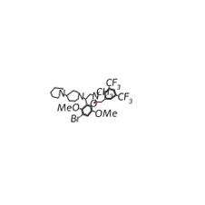 COc1cc(Br)c(OC)c(C(CN(C)C(=O)Cc2cc(C(F)(F)F)cc(C(F)(F)F)c2)N2CCC(N3CCCCC3)CC2)c1